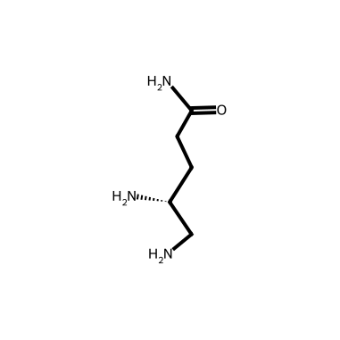 NC[C@H](N)CCC(N)=O